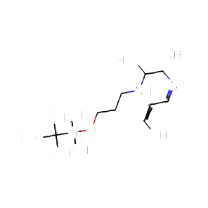 C/C=C\C=N/[C@@H](C)C(C)NCCCO[Si](C)(C)C(C)(C)C